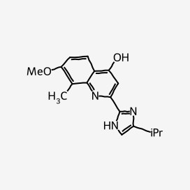 COc1ccc2c(O)cc(-c3nc(C(C)C)c[nH]3)nc2c1C